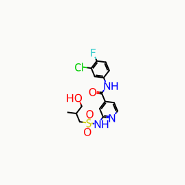 CC(CO)CS(=O)(=O)Nc1cc(C(=O)Nc2ccc(F)c(Cl)c2)ccn1